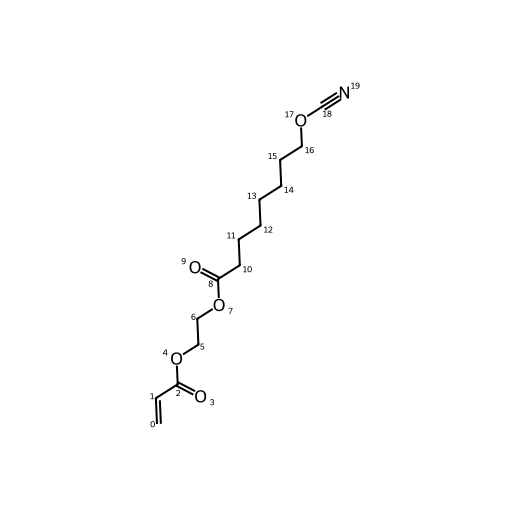 C=CC(=O)OCCOC(=O)CCCCCCCOC#N